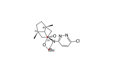 CN(c1ccc(Cl)nn1)[C@H]1C[C@]2(C)CC[C@](C)(C1)C2C(=O)OC(C)(C)C